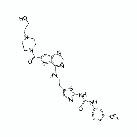 O=C(Nc1cccc(C(F)(F)F)c1)Nc1ncc(CCNc2ncnc3cc(C(=O)N4CCN(CCO)CC4)sc23)s1